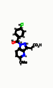 COc1ccc2c(n1)c(CC(=O)O)nn2C(=O)c1ccc(Cl)cc1